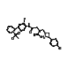 CS(=O)(=O)c1ccccc1-c1ccc(NC(=O)CN(CC2CC(c3ccc(Cl)cc3)C2)C(N)=O)c(F)c1